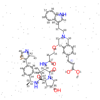 COC(=O)/C=C/c1ccc(CN(CCOCCC(=O)N[C@H](C(=O)N2C[C@H](O)C[C@H]2C(=O)N[C@@H](C)c2ccc(-c3scnc3C)cc2)C(C)(C)C)CCc2c[nH]c3ccccc23)cc1